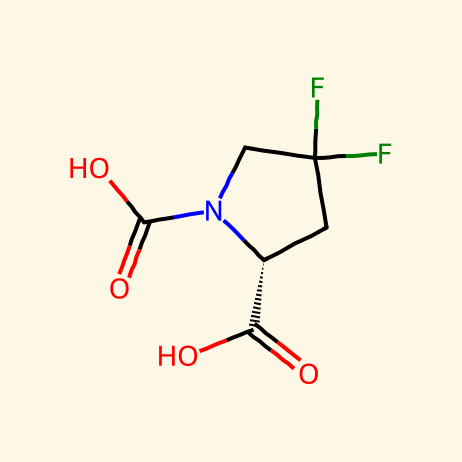 O=C(O)[C@H]1CC(F)(F)CN1C(=O)O